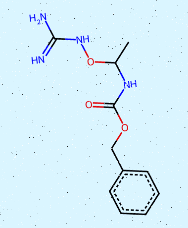 CC(NC(=O)OCc1ccccc1)ONC(=N)N